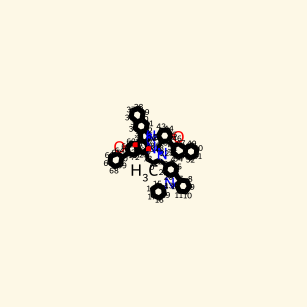 CC1=C(c2ccc3c4ccccc4n(-c4ccccc4)c3c2)N=C(c2c(-n3c4ccccc4c4cc5ccccc5cc43)ccc3oc4c5ccccc5ccc4c23)N=C(c2ccc3oc4ccccc4c3c2)C1